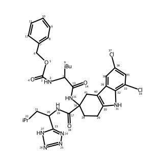 CCC(C)C(NC(=O)OCc1ccccc1)C(=O)NC1(C(=O)NC(CC(C)C)c2nnn[nH]2)CCc2[nH]c3c(Cl)cc(Cl)cc3c2C1